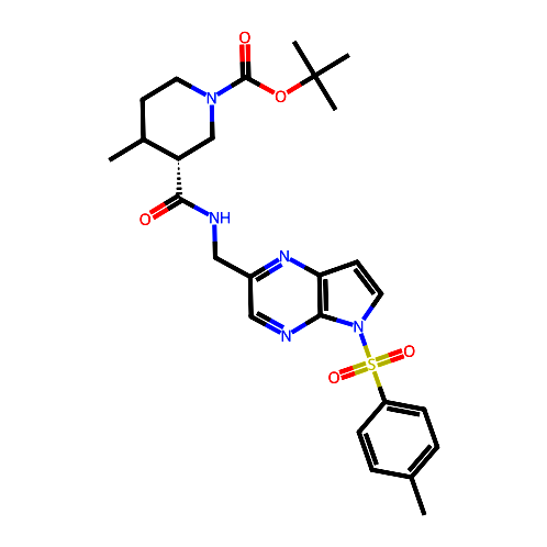 Cc1ccc(S(=O)(=O)n2ccc3nc(CNC(=O)[C@H]4CN(C(=O)OC(C)(C)C)CCC4C)cnc32)cc1